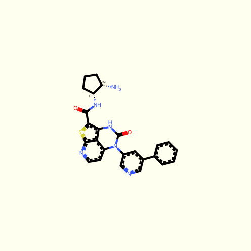 N[C@H]1CCC[C@H]1NC(=O)c1sc2nccc3c2c1NC(=O)N3c1cncc(-c2ccccc2)c1